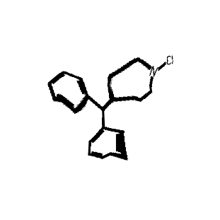 ClN1CCC(C(c2ccccc2)c2ccccc2)CC1